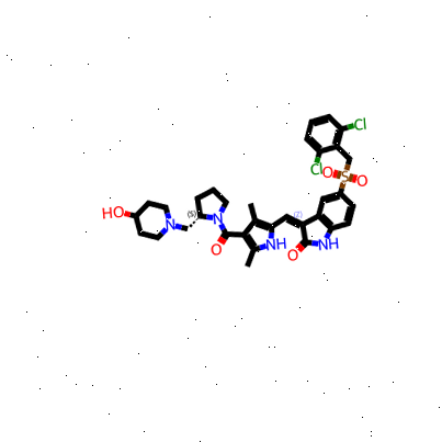 Cc1[nH]c(/C=C2\C(=O)Nc3ccc(S(=O)(=O)Cc4c(Cl)cccc4Cl)cc32)c(C)c1C(=O)N1CCC[C@H]1CN1CCC(O)CC1